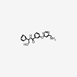 NCc1cc(Oc2cccc(C(=O)NC(CO)c3ccccc3)c2)ncn1